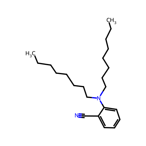 CCCCCCCCN(CCCCCCCC)c1ccccc1C#N